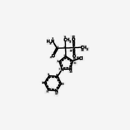 CC(C(N)=O)(c1cn(-c2cccnc2)nc1Cl)S(C)(=O)=O